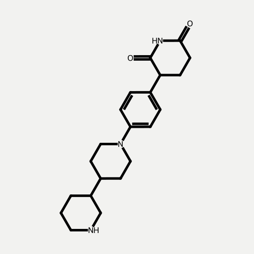 O=C1CCC(c2ccc(N3CCC(C4CCCNC4)CC3)cc2)C(=O)N1